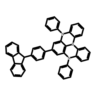 c1ccc(N2c3ccccc3B3c4ccccc4N(c4ccccc4)c4cc(-c5ccc(C6c7ccccc7-c7ccccc76)cc5)cc2c43)cc1